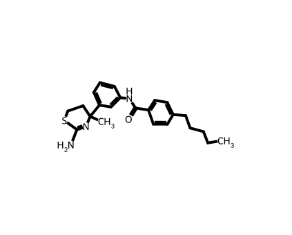 CCCCCc1ccc(C(=O)Nc2cccc(C3(C)CCSC(N)=N3)c2)cc1